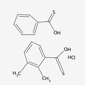 Cc1cccc(C(O)=S)c1C.Cl.OC(=S)c1ccccc1